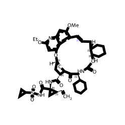 C=C[C@@H]1C[C@]1(NC(=O)[C@@H]1C[C@@H]2CC1C(=O)[C@H](C1CCCCC1)NC(=O)O[C@@H]1CCCC[C@H]1C/C=C/c1cc3c(cc(OCC)nc3cc1OC)O2)C(=O)NS(=O)(=O)C1CC1